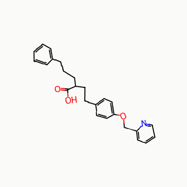 O=C(O)C(CCCc1ccccc1)CCc1ccc(OCc2ccccn2)cc1